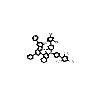 Cc1cc(C)c(-c2ccc(N3c4ccc(-c5c(C)cc(C)cc5C)cc4B4c5c3cc3c(c5-c5cc(-c6ccccc6)cc6c7cc(-c8ccccc8)ccc7n4c56)CCCC3)cc2)c(C)c1